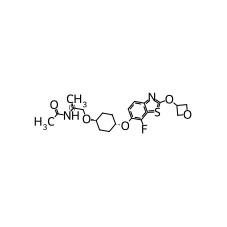 CC(=O)N[C@@H](C)CO[C@H]1CC[C@H](Oc2ccc3nc(OC4COC4)sc3c2F)CC1